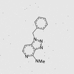 CNc1nccc2c1nnn2Cc1ccccc1